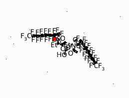 CCN(C(C)OP(=O)(O)OC(C)N(CC)S(=O)(=O)C(F)(F)C(F)(F)C(F)(F)C(F)(F)C(F)(F)C(F)(F)C(F)(F)C(F)(F)F)S(=O)(=O)C(F)(F)C(F)(F)C(F)(F)C(F)(F)C(F)(F)C(F)(F)C(F)(F)C(F)(F)F